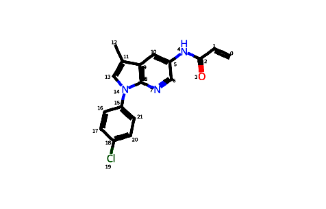 C=CC(=O)Nc1cnc2c(c1)c(C)cn2-c1ccc(Cl)cc1